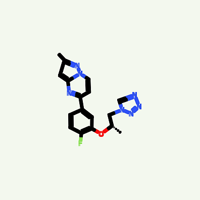 Cc1cc2nc(-c3ccc(F)c(O[C@@H](C)Cn4cnnn4)c3)ccn2n1